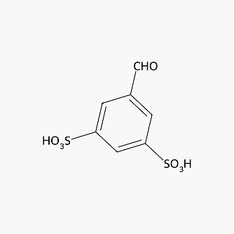 O=Cc1cc(S(=O)(=O)O)cc(S(=O)(=O)O)c1